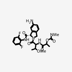 CNC(=O)OC(C)C(=O)NC(C(=O)N1Cc2ccc(N)cc2[C@H]1C(=O)Nc1c(F)cccc1F)C(C)OC